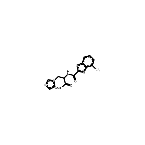 COC(=O)C(Cn1ccnc1)NC(=O)c1nc2c(C(F)(F)F)cccc2s1